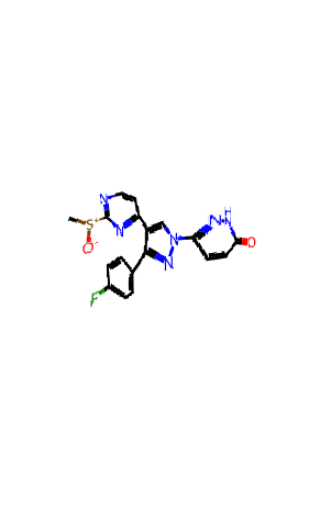 C[S+]([O-])c1nccc(-c2cn(-c3ccc(=O)[nH]n3)nc2-c2ccc(F)cc2)n1